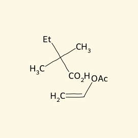 C=COC(C)=O.CCC(C)(C)C(=O)O